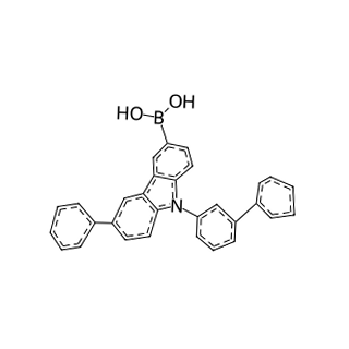 OB(O)c1ccc2c(c1)c1cc(-c3ccccc3)ccc1n2-c1cccc(-c2ccccc2)c1